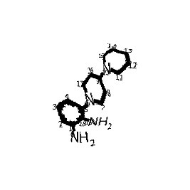 Nc1cccc(N2CCC(N3CCCCC3)CC2)c1N